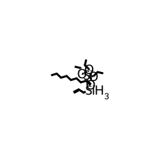 C=CC[SiH3].CCCCCCCC(=O)[Si](OCC)(OCC)OCC